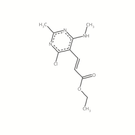 CCOC(=O)/C=C/c1c(Cl)nc(C)nc1NC